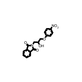 O=C1c2ccccc2C(=O)N1CC(O)COc1ccc([N+](=O)[O-])cc1